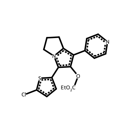 CCOC(=O)Oc1c(-c2ccncc2)c2n(c1-c1ccc(Cl)s1)CCC2